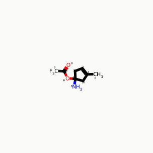 CC1=CCC(N)(OC(=O)C(F)(F)F)C1